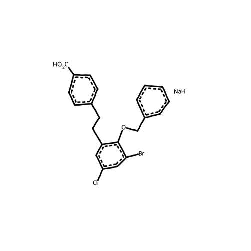 O=C(O)c1ccc(CCc2cc(Cl)cc(Br)c2OCc2ccccc2)cc1.[NaH]